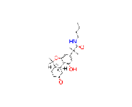 CCCCNC(=O)C(C)(C)c1cc(O)c2c(c1)OC(C)(C)[C@@H]1CCC(=O)C[C@@H]21